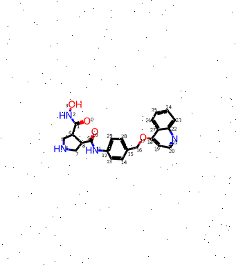 O=C(NO)C1CNCC1C(=O)Nc1ccc(COc2ccnc3ccccc23)cc1